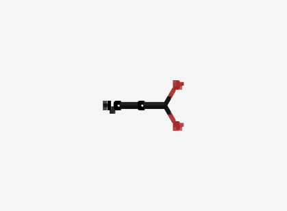 C=C=C(Br)Br